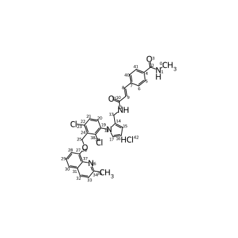 CNC(=O)c1ccc(/C=C/C(=O)NCc2cccn2-c2ccc(Cl)c(COc3cccc4ccc(C)nc34)c2Cl)cc1.Cl